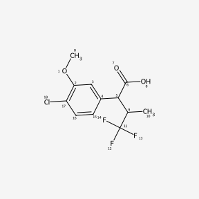 COc1cc(C(C(=O)O)C(C)C(F)(F)F)ccc1Cl